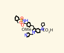 COc1cc(C(=O)NS(=O)(=O)c2ccccc2C)ccc1Cc1cn(Cc2ccncc2)c2ccc(N(C(=O)O)C3CCCC3)cc12